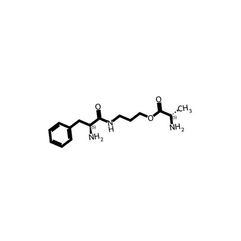 C[C@H](N)C(=O)OCCCNC(=O)[C@@H](N)Cc1ccccc1